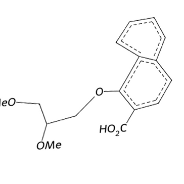 COCC(COc1c(C(=O)O)ccc2ccccc12)OC